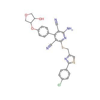 N#Cc1c(N)nc(SCc2csc(-c3ccc(Cl)cc3)n2)c(C#N)c1-c1ccc(OC2COCC2O)cc1